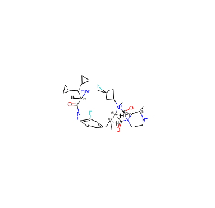 CCCC(=O)[N+]1(C)C2CC(F)(CN[C@@H](C(C3CC3)C3CC3)C(=O)Nc3ccc(cc3F)[C@H](C)[C@@H]1C(=O)N1CCN(C)[C@H](C)C1)C2